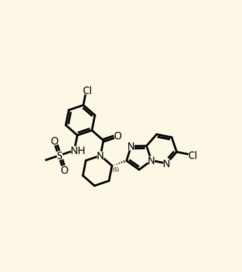 CS(=O)(=O)Nc1ccc(Cl)cc1C(=O)N1CCCC[C@H]1c1cn2nc(Cl)ccc2n1